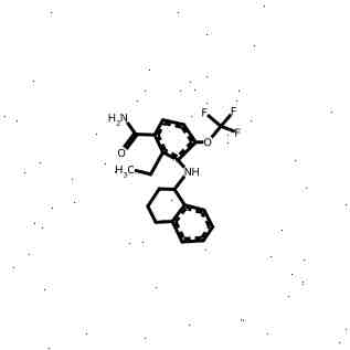 CCc1c(C(N)=O)ccc(OC(F)(F)F)c1NC1CCCc2ccccc21